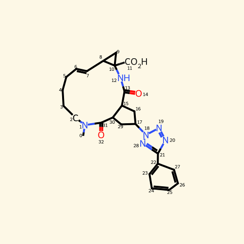 CN1CCCC/C=C/C2CC2(C(=O)O)NC(=O)C2CC(n3nnc(-c4ccccc4)n3)CC2C1=O